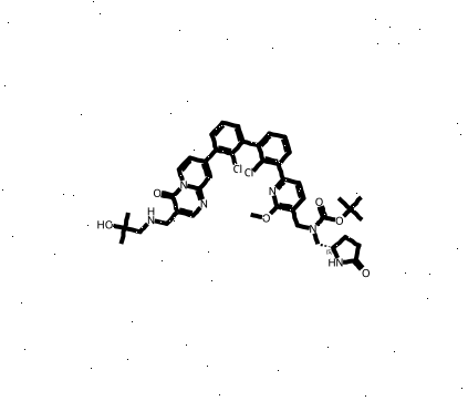 COc1nc(-c2cccc(-c3cccc(-c4ccn5c(=O)c(CNCC(C)(C)O)cnc5c4)c3Cl)c2Cl)ccc1CN(C[C@@H]1CCC(=O)N1)C(=O)OC(C)(C)C